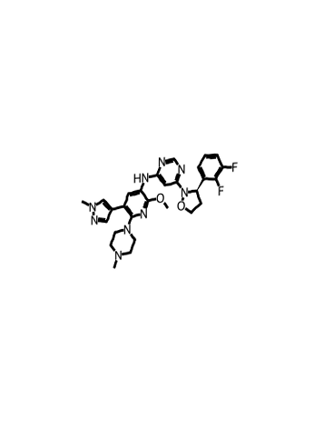 COc1nc(N2CCN(C)CC2)c(-c2cnn(C)c2)cc1Nc1cc(N2OCC[C@@H]2c2cccc(F)c2F)ncn1